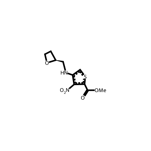 COC(=O)c1scc(NC[C@@H]2CCO2)c1[N+](=O)[O-]